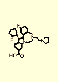 O=C(O)c1ccc2c([C@@H]3CCCC[C@H]3F)c3n(c2c1)CCN(CCN1CCCC1)Cc1ccc(F)cc1-3